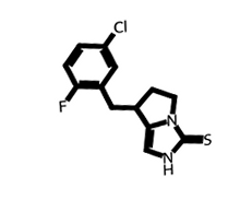 Fc1ccc(Cl)cc1CC1CCn2c1c[nH]c2=S